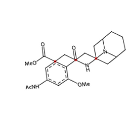 COC(=O)CCCCCN1C2CCCC1CC(NC(=O)c1ccc(NC(C)=O)cc1OC)C2